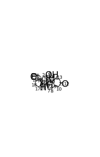 CC[C@]12C[C@H](O)[C@H]3[C@@H](CCC4=CC(=O)CC[C@@H]43)[C@@H]1CCC2=O